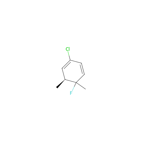 C[C@H]1C=C(Cl)C=CC1(C)F